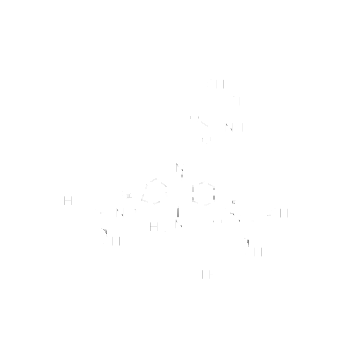 CCC(C)C(N)C(=O)OCON=C1c2ccc(S(=O)(=O)N3C[C@H](C)C[C@H](C)C3)cc2C(=NO)c2cc(S(=O)(=O)N3C[C@H](C)C[C@H](C)C3)ccc21.Cl